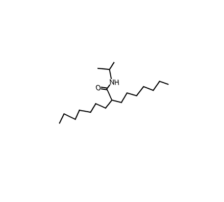 CCCCCCCC(CCCCCCC)C(=O)NC(C)C